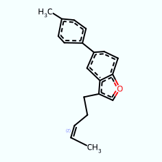 C/C=C\CCc1coc2ccc(-c3ccc(C)cc3)cc12